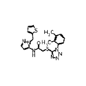 Cc1cccc(-n2nnnc2SCC(=O)Nc2ccnn2Cc2cccs2)c1C